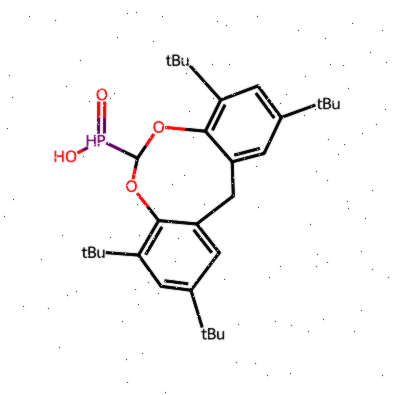 CC(C)(C)c1cc2c(c(C(C)(C)C)c1)OC([PH](=O)O)Oc1c(cc(C(C)(C)C)cc1C(C)(C)C)C2